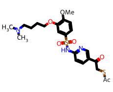 COc1ccc(S(=O)(=O)Nc2ccc(C(=O)CSC(C)=O)cn2)cc1OCCCCN(C)C